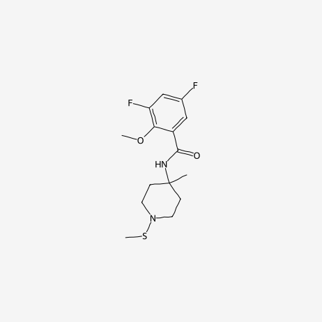 COc1c(F)cc(F)cc1C(=O)NC1(C)CCN(SC)CC1